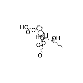 CCCCC[C@H](O)CC[C@@H]1[C@H]2Cc3cccc(OCC(=O)O)c3C[C@H]2C[C@H]1OC(=O)CCCOC